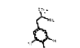 [2H]c1cc(C[C@H](N)C(=O)O)cc([2H])c1O